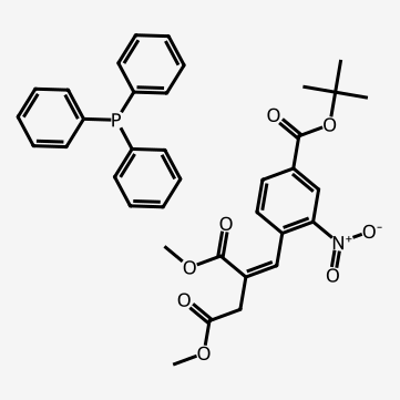 COC(=O)CC(=Cc1ccc(C(=O)OC(C)(C)C)cc1[N+](=O)[O-])C(=O)OC.c1ccc(P(c2ccccc2)c2ccccc2)cc1